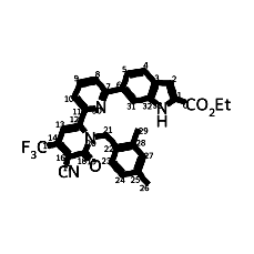 CCOC(=O)c1cc2ccc(-c3cccc(-c4cc(C(F)(F)F)c(C#N)c(=O)n4Cc4ccc(C)cc4C)n3)cc2[nH]1